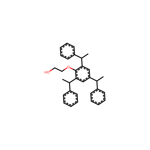 CC(c1ccccc1)c1cc(C(C)c2ccccc2)c(OCCO)c(C(C)c2ccccc2)c1